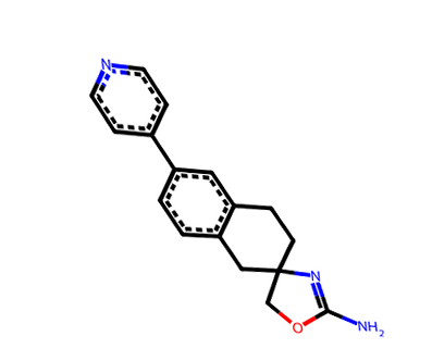 NC1=NC2(CCc3cc(-c4ccncc4)ccc3C2)CO1